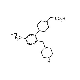 Cl.O=C(O)CN1CCC(c2cc(C(F)(F)F)ccc2CN2CCNCC2)CC1